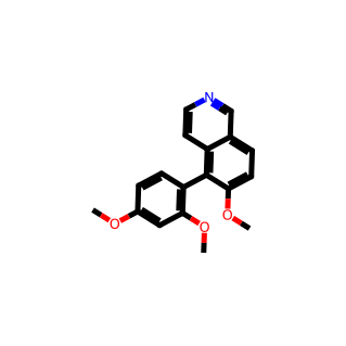 COc1ccc(-c2c(OC)ccc3cnccc23)c(OC)c1